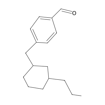 CCCC1CCCC(Cc2ccc(C=O)cc2)C1